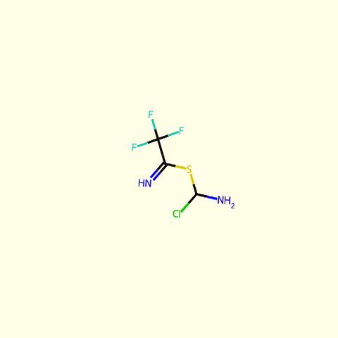 N=C(SC(N)Cl)C(F)(F)F